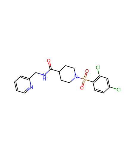 O=C(NCc1ccccn1)C1CCN(S(=O)(=O)c2ccc(Cl)cc2Cl)CC1